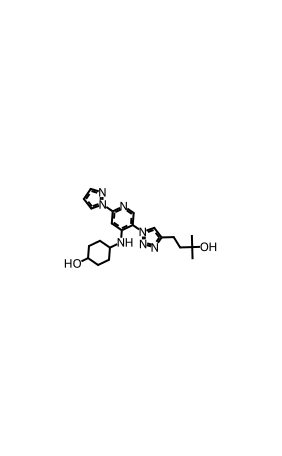 CC(C)(O)CCc1cn(-c2cnc(-n3cccn3)cc2NC2CCC(O)CC2)nn1